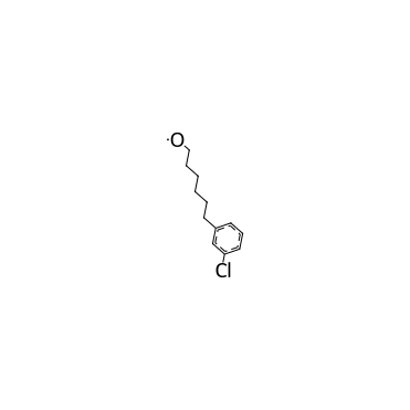 [O]CCCCCCc1cccc(Cl)c1